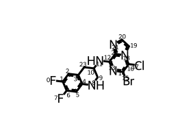 Fc1cc2c(cc1F)NCC(Nc1nc(Br)c(Cl)n3ccnc13)C2